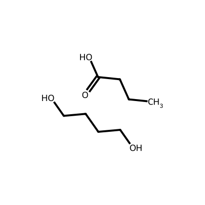 CCCC(=O)O.OCCCCO